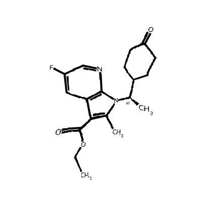 CCOC(=O)c1c(C)n([C@H](C)C2CCC(=O)CC2)c2ncc(F)cc12